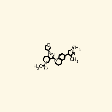 CC(=O)N1CCc2c(c(N3CCCc4cc(C5CN(C)N=C5C)ccc43)nn2C2CCOC2)C1